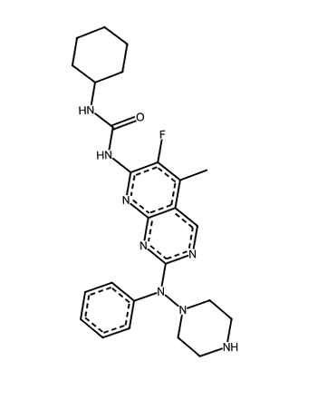 Cc1c(F)c(NC(=O)NC2CCCCC2)nc2nc(N(c3ccccc3)N3CCNCC3)ncc12